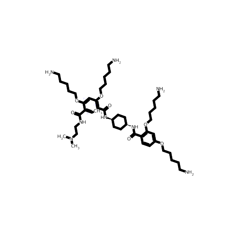 C\C=C(C(=O)NCCN(C)C)/C(=C\C(=C\C(=O)N[C@H]1CC[C@H](NC(=O)c2ccc(OCCCCCN)cc2OCCCCCN)CC1)OCCCCCN)OCCCCCN